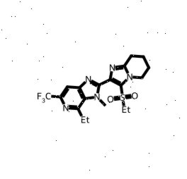 CCc1nc(C(F)(F)F)cc2nc(-c3nc4n(c3S(=O)(=O)CC)CCCC4)n(C)c12